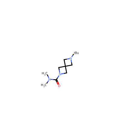 CN(C)C(=O)N1CC2(C1)CN(C(C)(C)C)C2